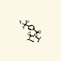 C=C(C)C(=O)N(C(=O)c1ccc(C(F)(F)F)cc1)C(C)C